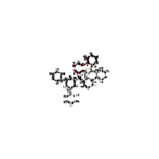 c1ccc(-c2cccc(N(c3cc(-c4ccccc4)cc(-c4ccccc4)c3)c3cccc4c3c(-c3ccccc3)c(-c3ccccc3)c3ccccc34)c2)cc1